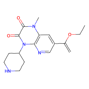 C=C(OCC)c1cnc2c(c1)n(C)c(=O)c(=O)n2C1CCNCC1